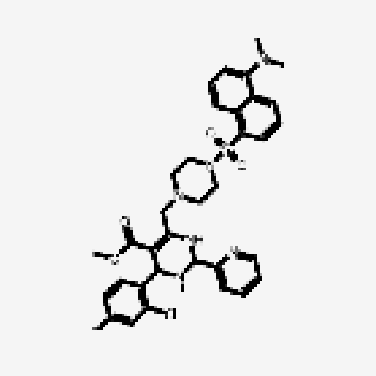 COC(=O)C1=C(CN2CCN(S(=O)(=O)c3cccc4c(N(C)C)cccc34)CC2)NC(c2ccccn2)NC1c1ccc(F)cc1Cl